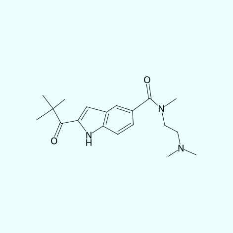 CN(C)CCN(C)C(=O)c1ccc2[nH]c(C(=O)C(C)(C)C)cc2c1